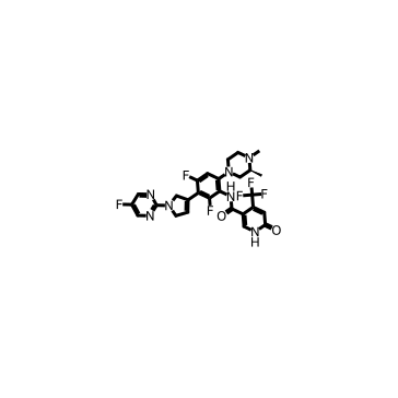 C[C@H]1CN(c2cc(F)c(C3=CCN(c4ncc(F)cn4)C3)c(F)c2NC(=O)c2c[nH]c(=O)cc2C(F)(F)F)CCN1C